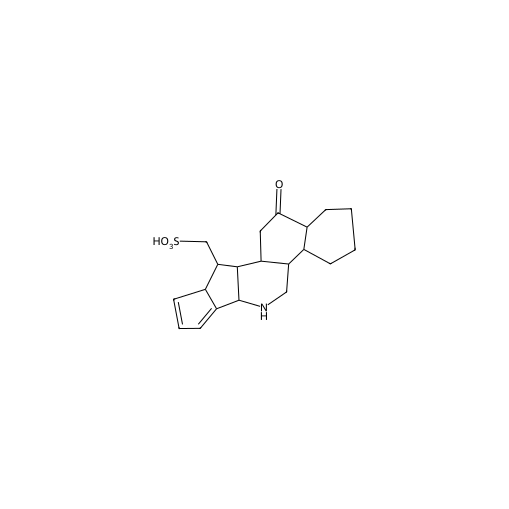 O=C1CC2C(CNC3C4=CC=CC4C(CS(=O)(=O)O)C32)C2CCCCC12